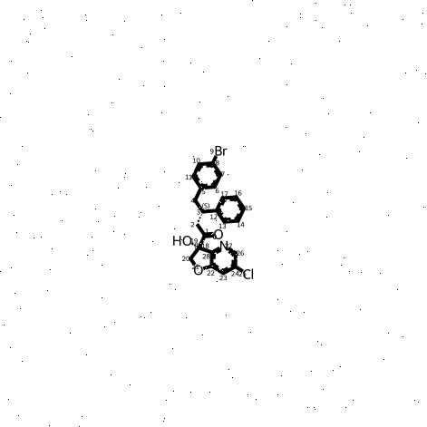 O=C(C[C@H](Cc1ccc(Br)cc1)c1ccccc1)[C@]1(O)COc2cc(Cl)cnc21